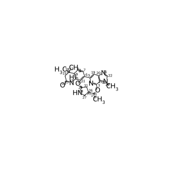 C[C@@H](Oc1nc(-c2ccc3c(c2)NC(=O)CC3(C)C)cc2ncn(C)c12)[C@H]1CNC(=O)C1